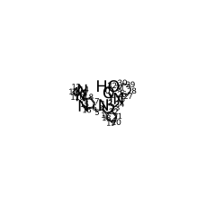 O=C1c2nc(Cc3ccc(-n4cccn4)nc3)c3ccccc3c2CN1C1CCCCC1O